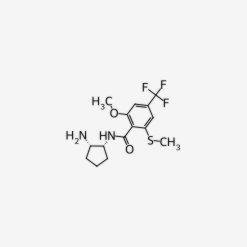 COc1cc(C(F)(F)F)cc(SC)c1C(=O)N[C@@H]1CCC[C@@H]1N